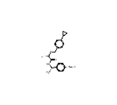 CC(C)C(OCc1ccc(C2CC2)cc1)C(=O)N[C@@H](C)c1ccc(C(=O)O)cc1